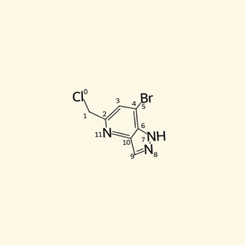 ClCc1cc(Br)c2[nH]ncc2n1